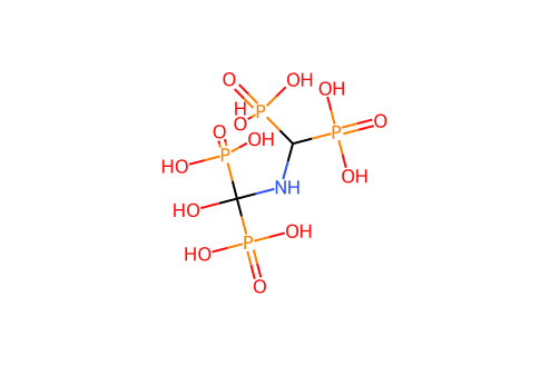 O=P(O)(O)C(NC(O)(P(=O)(O)O)P(=O)(O)O)P(=O)(O)O